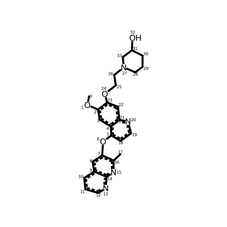 COc1cc2c(Oc3cc4cccnc4nc3C)ccnc2cc1OCCN1CCCC(O)C1